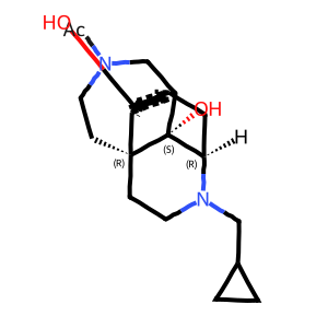 CC(=O)N1CC[C@]23CCN(CC4CC4)[C@H](Cc4ccc(O)cc42)[C@]3(O)CC1